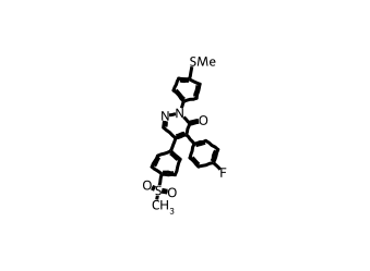 CSc1ccc(-n2ncc(-c3ccc(S(C)(=O)=O)cc3)c(-c3ccc(F)cc3)c2=O)cc1